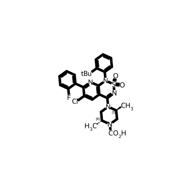 C[C@@H]1CN(C2=NS(=O)(=O)N(c3ccccc3C(C)(C)C)c3nc(-c4ccccc4F)c(Cl)cc32)[C@@H](C)CN1C(=O)O